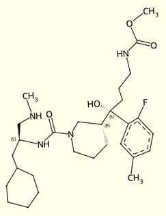 CNC[C@H](CC1CCCCC1)NC(=O)N1CCC[C@@H]([C@@](O)(CCCNC(=O)OC)c2cc(C)ccc2F)C1